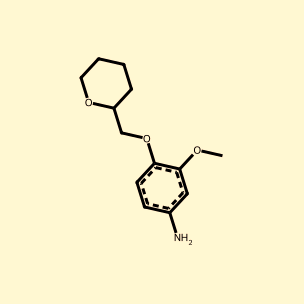 COc1cc(N)ccc1OCC1CCCCO1